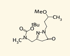 COC(C)CCN1N=C(CN(C)C(=O)OC(C)(C)C)CC1=O